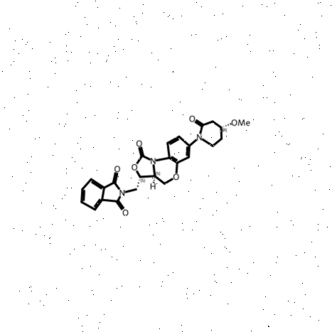 CO[C@@H]1CCN(c2ccc3c(c2)OC[C@H]2[C@H](CN4C(=O)c5ccccc5C4=O)OC(=O)N32)C(=O)C1